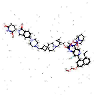 CCc1cccc2cc(OCOC)cc(-c3ncc4c(N5CC6CCC(C5)N6C(=O)OC(C)(C)C)nc(OCC5(CN6CCC7(CC6)CC(CN6CCN(c8ccc9c(c8)CN([C@H]8CCC(=O)NC8=O)C9=O)CC6)C7)CC5)nc4c3F)c12